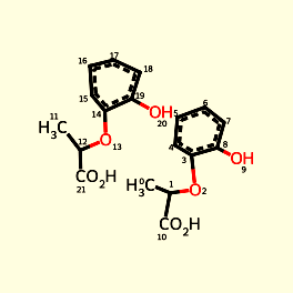 CC(Oc1ccccc1O)C(=O)O.CC(Oc1ccccc1O)C(=O)O